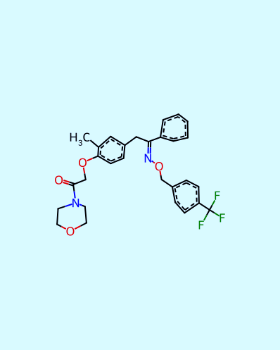 Cc1cc(CC(=NOCc2ccc(C(F)(F)F)cc2)c2ccccc2)ccc1OCC(=O)N1CCOCC1